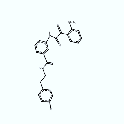 CC(=O)Nc1ccccc1C(=O)C(=O)Nc1cccc(C(=O)NCCc2ccc(Cl)cc2)c1